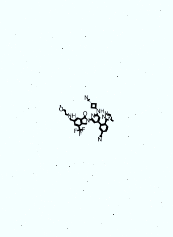 COCCNCc1cc2c(c(C(F)(F)F)c1)CN(c1cc(-c3cc(C#N)ccc3-c3nncn3C)cc(N[C@H]3C[C@H](C#N)C3)n1)C2=O